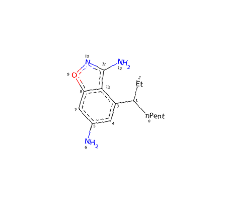 CCCCCC(CC)c1cc(N)cc2onc(N)c12